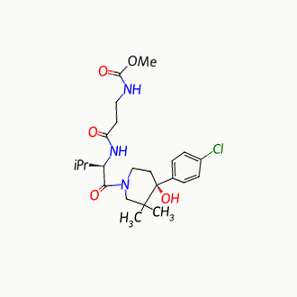 COC(=O)NCCC(=O)N[C@@H](C(=O)N1CC[C@](O)(c2ccc(Cl)cc2)C(C)(C)C1)C(C)C